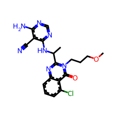 COCCCn1c(C(C)Nc2ncnc(N)c2C#N)nc2cccc(Cl)c2c1=O